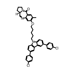 Cc1cc2c(cc1OCCCCCn1c3ccc(-c4ccc(Cl)cc4)cc3c3cc(-c4ccc(Cl)cc4)ccc31)N=C[C@@H]1CCCN1C2=O